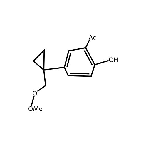 COOCC1(c2ccc(O)c(C(C)=O)c2)CC1